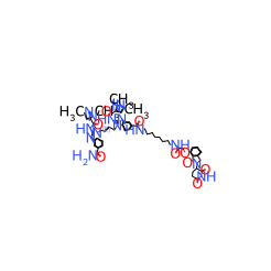 CCn1nc(C)cc1C(=O)Nc1nc2cc(C(N)=O)ccc2n1C/C=C/Cn1c(NC(=O)c2cc(C)nn2CC)nc2cc(C(=O)NCCCCCCCCNC(=O)COc3cccc4c3C(=O)N(C3CCC(=O)NC3=O)C4)ccc21